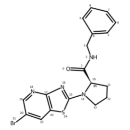 O=C(NCc1ccccc1)[C@H]1CCCN1c1nc2ncc(Br)cc2s1